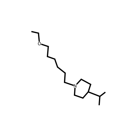 CCOCCCCCCN1CCC(C(C)C)CC1